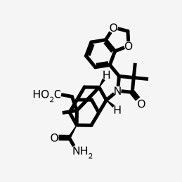 CC1(C)C(=O)N([C@@H]2C3CC4C[C@H]2C(C)(CC(=O)O)[C@@](C(N)=O)(C4)C3)C1c1cccc2c1OCO2